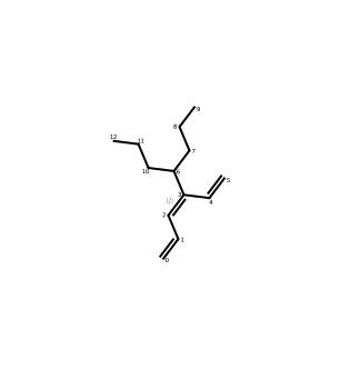 C=C/C=C(\C=C)C(CCC)CCC